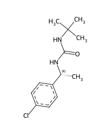 C[C@@H](NC(=O)NC(C)(C)C)c1ccc(Cl)cc1